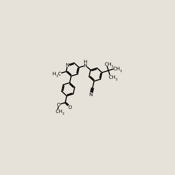 COC(=O)c1ccc(-c2cc(Nc3cc(C#N)cc(C(C)(C)C)c3)cnc2C)cc1